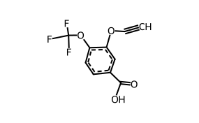 C#COc1cc(C(=O)O)ccc1OC(F)(F)F